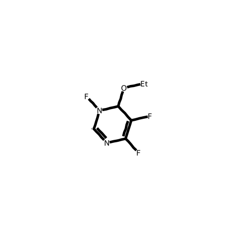 CCOC1C(F)=C(F)N=[C]N1F